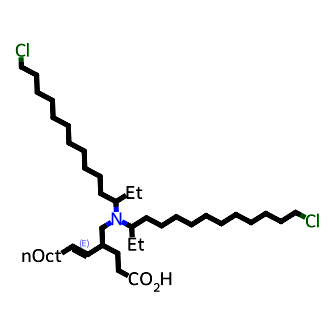 CCCCCCCC/C=C/C(CCC(=O)O)CN(C(CC)CCCCCCCCCCCCl)C(CC)CCCCCCCCCCCCl